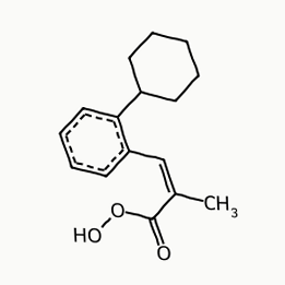 CC(=Cc1ccccc1C1CCCCC1)C(=O)OO